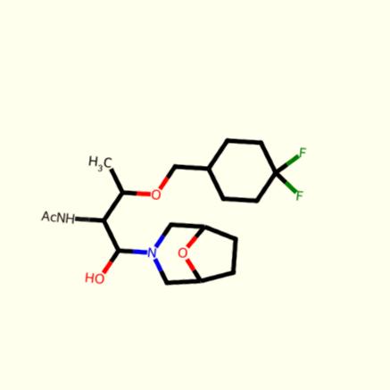 CC(=O)NC(C(C)OCC1CCC(F)(F)CC1)C(O)N1CC2CCC(C1)O2